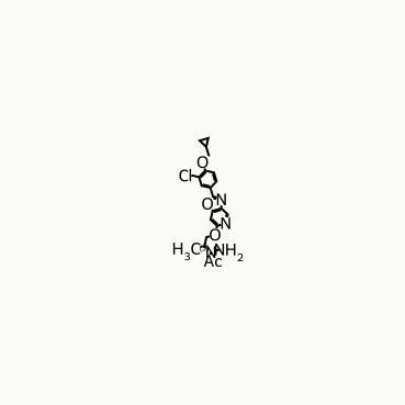 CC(=O)N(N)[C@@H](C)COc1cc2oc(-c3ccc(OCC4CC4)c(Cl)c3)nc2cn1